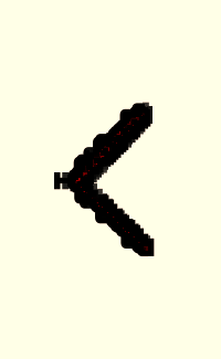 CCO.ClCCl.ClCCl.ClCCl.ClCCl.ClCCl.ClCCl.ClCCl.ClCCl.ClCCl.ClCCl.ClCCl.ClCCl.ClCCl.ClCCl.ClCCl.ClCCl.ClCCl.ClCCl.ClCCl.ClCCl.ClCCl.ClCCl.ClCCl.ClCCl.ClCCl.ClCCl.ClCCl.ClCCl.ClCCl.ClCCl.ClCCl.ClCCl.ClCCl.ClCCl.ClCCl.ClCCl.ClCCl.ClCCl.ClCCl.ClCCl